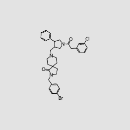 O=C(Cc1cccc(Cl)c1)N1CC(CN2CCC3(CC2)CCN(Cc2ccc(Br)cc2)C3=O)C(c2ccccc2)C1